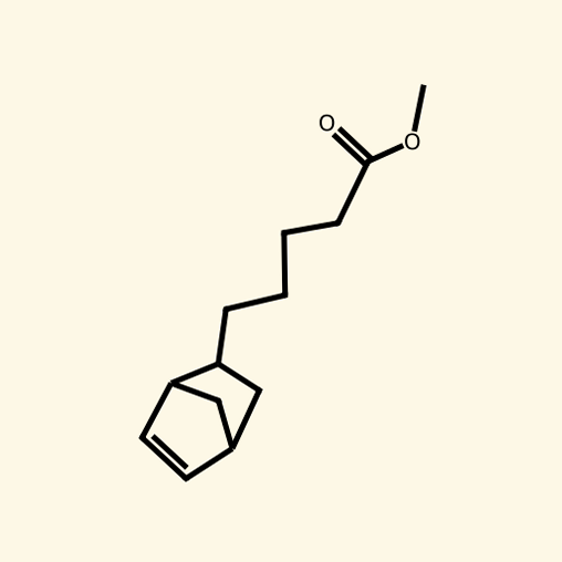 COC(=O)CCCCC1CC2C=CC1C2